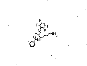 NCCCCC(NC(=O)c1ccccc1)C(=O)COc1c(F)c(F)cc(F)c1F